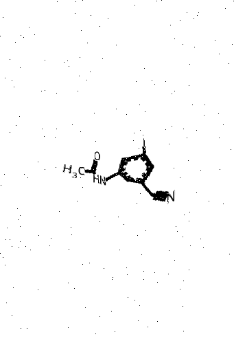 CC(=O)Nc1cc(I)cc(C#N)c1